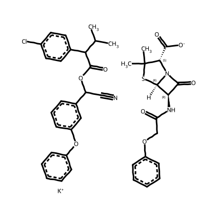 CC(C)C(C(=O)OC(C#N)c1cccc(Oc2ccccc2)c1)c1ccc(Cl)cc1.CC1(C)S[C@@H]2[C@H](NC(=O)COc3ccccc3)C(=O)N2[C@H]1C(=O)[O-].[K+]